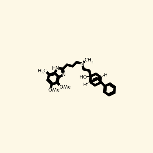 COc1cc(C)c2[nH]c(CCCN(C)CC[C@]3(O)C[C@H]4CC[C@@H]3C=C4c3ccccc3)nc2c1OC